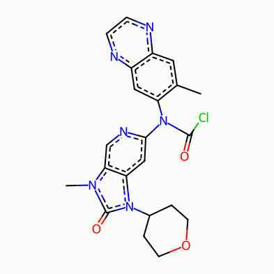 Cc1cc2nccnc2cc1N(C(=O)Cl)c1cc2c(cn1)n(C)c(=O)n2C1CCOCC1